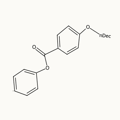 CCCCCCCCCCOc1ccc(C(=O)Oc2cc[c]cc2)cc1